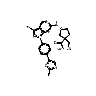 CNC(=O)C1(CC#N)CC[C@@H](Nc2ncc3c(Br)nn(-c4ccc(-c5nnc(C)s5)cc4)c3n2)C1